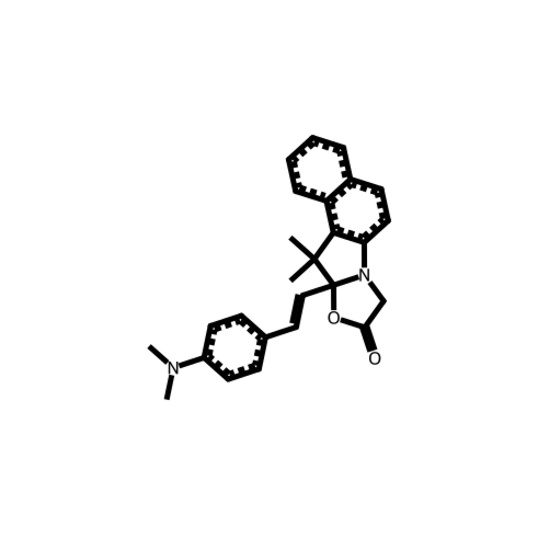 CN(C)c1ccc(C=CC23OC(=O)CN2c2ccc4ccccc4c2C3(C)C)cc1